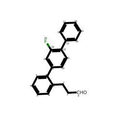 O=CCCc1ccccc1-c1ccc(-c2ccccc2)c(F)c1